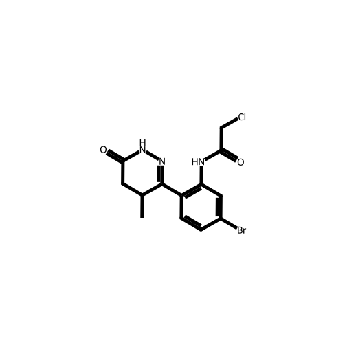 CC1CC(=O)NN=C1c1ccc(Br)cc1NC(=O)CCl